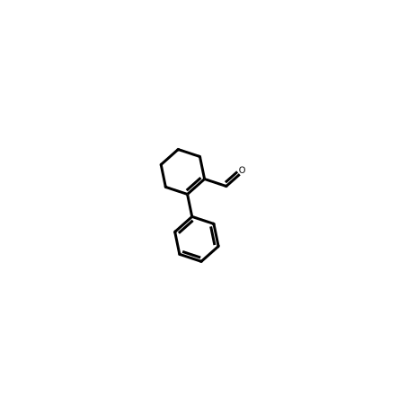 O=CC1=C(c2ccccc2)CCCC1